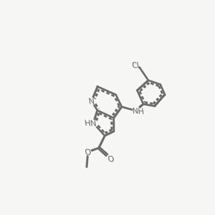 COC(=O)c1cc2c(Nc3cccc(Cl)c3)ccnc2[nH]1